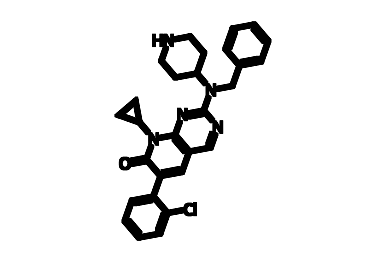 O=c1c(-c2ccccc2Cl)cc2cnc(N(Cc3ccccc3)C3CCNCC3)nc2n1C1CC1